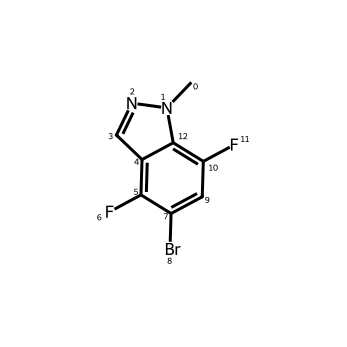 Cn1ncc2c(F)c(Br)cc(F)c21